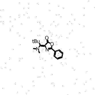 CN(C)/C(=C1\N=C(c2ccccc2)OC1=O)C(C)(C)C